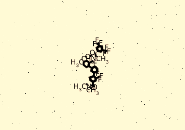 CCN(C)C(=O)c1ccc(-c2ccc(F)c(C3=C(CN4C(=O)O[C@H](c5cc(C(F)(F)F)cc(C(F)(F)F)c5)[C@@H]4C)CC(C)(C)CC3)c2)c(C(F)(F)F)c1